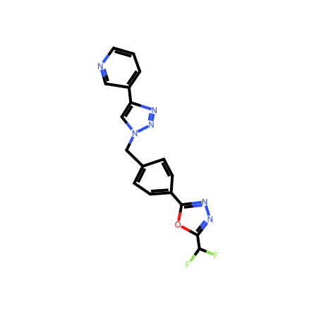 FC(F)c1nnc(-c2ccc(Cn3cc(-c4cccnc4)nn3)cc2)o1